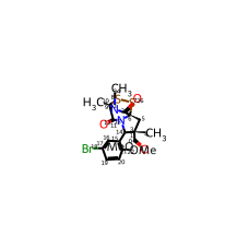 COC(=O)[C@@]1(C)C[C@@]23SS[C@@](C)(C(=O)N2C1c1cc(Br)ccc1OC)N(C)C3=O